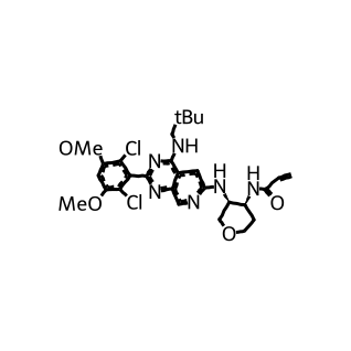 C=CC(=O)N[C@H]1CCOC[C@H]1Nc1cc2c(NCC(C)(C)C)nc(-c3c(Cl)c(OC)cc(OC)c3Cl)nc2cn1